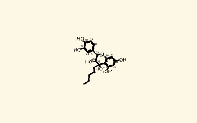 CCCCCC1(O)c2c(O)cc(O)cc2O[C@H](c2ccc(O)c(O)c2)[C@@H]1O